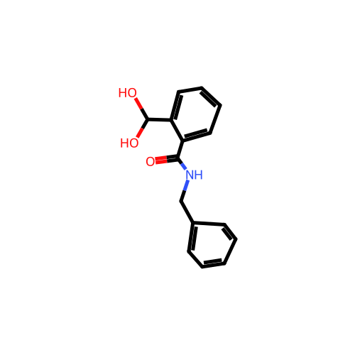 O=C(NCc1ccccc1)c1ccccc1C(O)O